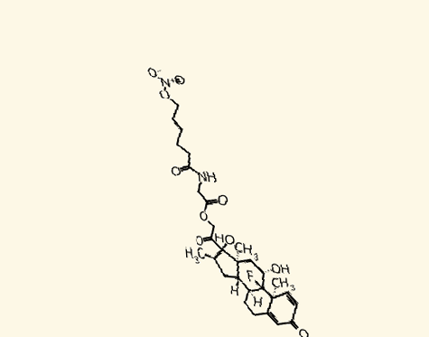 C[C@@H]1C[C@H]2[C@@H]3CCC4=CC(=O)C=C[C@]4(C)[C@@]3(F)[C@@H](O)C[C@]2(C)[C@@]1(O)C(=O)COC(=O)CNC(=O)CCCCCO[N+](=O)[O-]